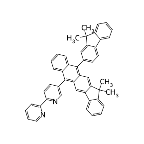 CC1(C)c2ccccc2-c2ccc(-c3c4ccccc4c(-c4ccc(-c5ccccn5)nc4)c4cc5c(cc34)C(C)(C)c3ccccc3-5)cc21